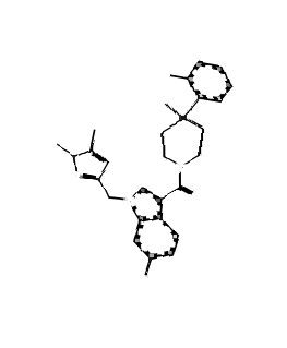 CCc1ccccc1C1(C)CCN(C(=O)c2cn(CC3=NC(C)C(C)=C3)c3cc(Cl)ccc23)CC1